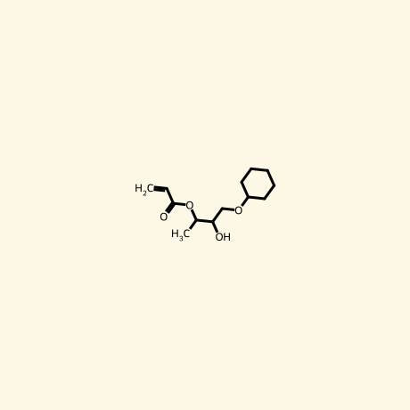 C=CC(=O)OC(C)C(O)COC1CCCCC1